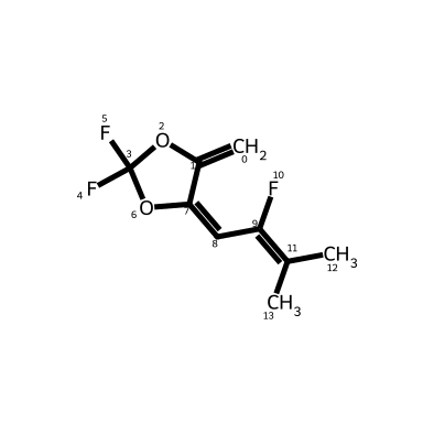 C=C1OC(F)(F)O/C1=C/C(F)=C(C)C